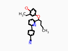 CCCCC(Oc1ccc([O])c(CC)c1)c1cccc(-c2ccc(C#N)cc2)n1